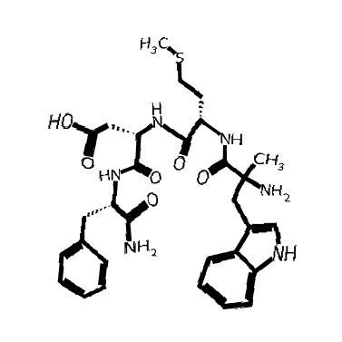 CSCC[C@H](NC(=O)C(C)(N)Cc1c[nH]c2ccccc12)C(=O)N[C@@H](CC(=O)O)C(=O)N[C@@H](Cc1ccccc1)C(N)=O